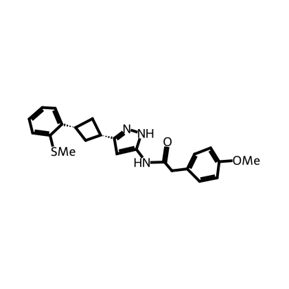 COc1ccc(CC(=O)Nc2cc([C@H]3C[C@@H](c4ccccc4SC)C3)n[nH]2)cc1